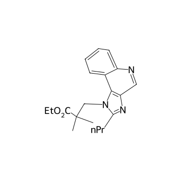 CCCc1nc2cnc3ccccc3c2n1CC(C)(C)C(=O)OCC